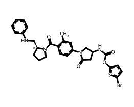 Cc1cc(N2CC(NC(=O)Oc3ccc(Br)s3)CC2=O)ccc1C(=O)N1CCC[C@H]1CNc1ccccc1